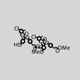 COC(=O)/C=C/c1ccc(Oc2c(C(=O)c3c(C)cc(Cl)cc3C)sc3c(COC(=O)/C=C/c4ccc(Oc5c(C(=O)c6c(C)cc(Cl)cc6C)sc6cc(O)ccc56)cc4)c(OC)ccc23)cc1